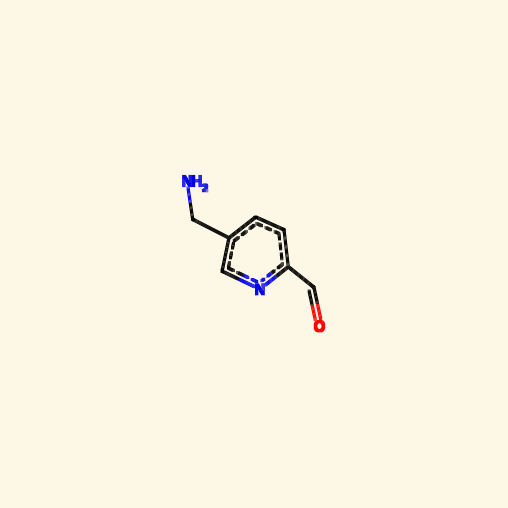 NCc1ccc(C=O)nc1